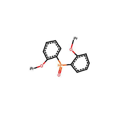 CC(C)Oc1ccccc1[PH](=O)c1ccccc1OC(C)C